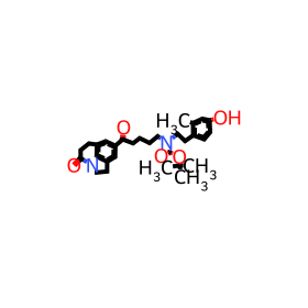 Cc1cc(O)ccc1CCN(CCCCC(=O)c1cc2c3c(c1)CCN3C(=O)CC2)C(=O)OC(C)(C)C